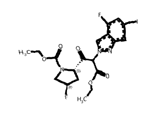 CCOC(=O)C(C(=O)[C@@H]1C[C@@H](F)CN1C(=O)OCC)n1cc2c(F)cc(I)cc2n1